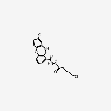 O=C(CCCCCl)NNC(=O)c1cccc2c1CNc1cc(Cl)ccc1O2